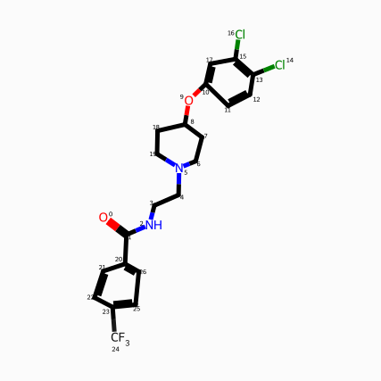 O=C(NCCN1CCC(Oc2ccc(Cl)c(Cl)c2)CC1)c1ccc(C(F)(F)F)cc1